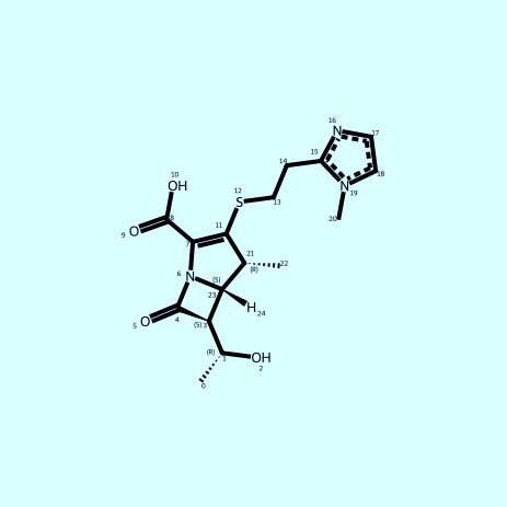 C[C@@H](O)[C@H]1C(=O)N2C(C(=O)O)=C(SCCc3nccn3C)[C@H](C)[C@H]12